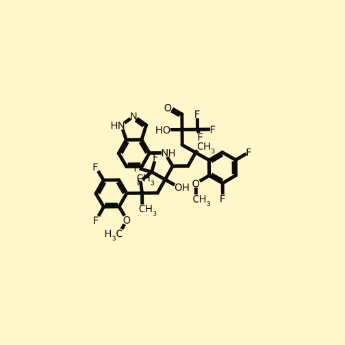 COc1c(F)cc(F)cc1C(C)(C)CC(O)(C(CC(C)(CC(O)(C=O)C(F)(F)F)c1cc(F)cc(F)c1OC)Nc1cccc2[nH]ncc12)C(F)(F)F